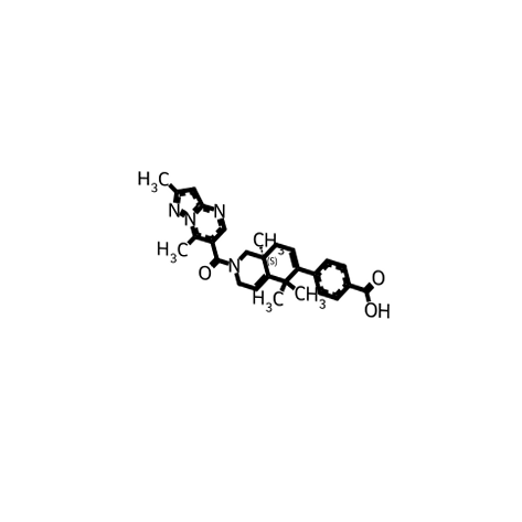 Cc1cc2ncc(C(=O)N3CC=C4C(C)(C)C(c5ccc(C(=O)O)cc5)=CC[C@]4(C)C3)c(C)n2n1